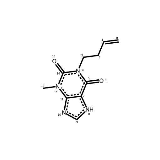 C=CCCn1c(=O)c2[nH]cnc2n(C)c1=O